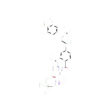 O=C(NC1CON(CC(F)(F)F)C1=O)c1ccc(/C(F)=C/C(c2cc(Cl)c(Cl)c(Br)c2)C(F)(F)F)cc1C(F)(F)F